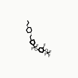 CCC[C@H]1CC[C@H](CCc2ccc(C(F)(F)Oc3ccc(OC(F)(F)F)c(F)c3)cc2)CC1